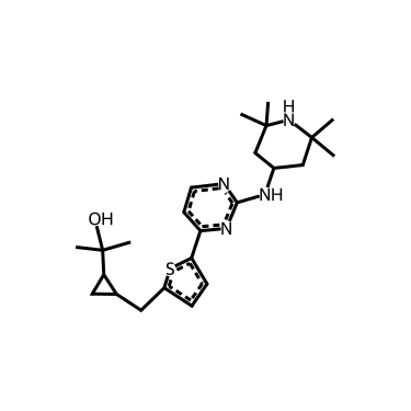 CC1(C)CC(Nc2nccc(-c3ccc(CC4CC4C(C)(C)O)s3)n2)CC(C)(C)N1